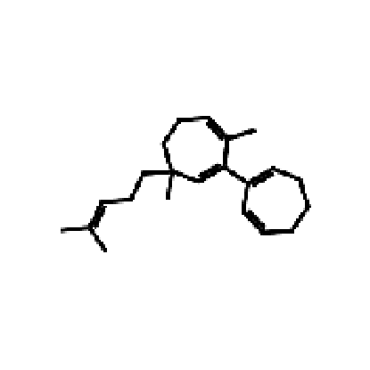 CC(C)=CCCC1(C)C=C(C2=CCCCC=C2)C(C)=CCC1